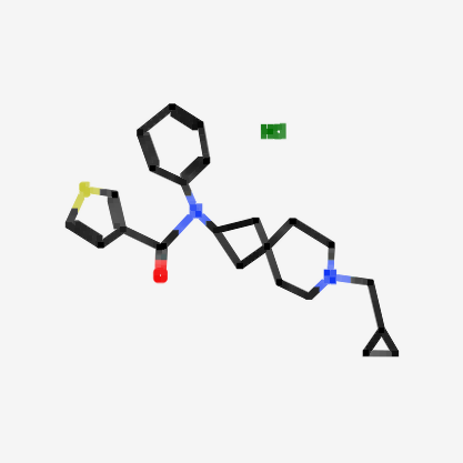 Cl.O=C(c1ccsc1)N(c1ccccc1)C1CC2(CCN(CC3CC3)CC2)C1